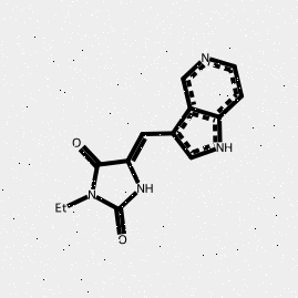 CCN1C(=O)N/C(=C\c2c[nH]c3ccncc23)C1=O